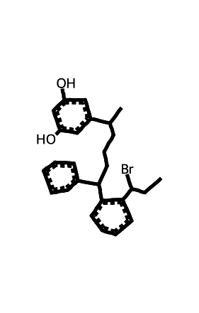 CCC(Br)c1ccccc1C(CCCC(C)c1cc(O)cc(O)c1)c1ccccc1